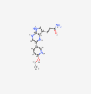 NC(=O)/C=C/c1c[nH]c2ncc(-c3ccc(OCC(F)(F)F)nc3)nc12